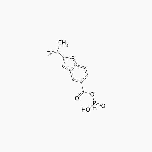 CC(=O)c1cc2cc(C(=O)O[PH](=O)O)ccc2s1